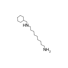 NCCCCCCCCCNCC1CCCCC1